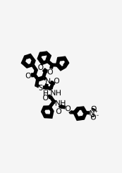 O=C(NC(C(=O)NC1C(=O)N2C(C(=O)OC(c3ccccc3)c3ccccc3)=C(C(=O)Cc3ccccc3)CS[C@H]12)C1=CCC=CC1)OCc1ccc([N+](=O)[O-])cc1